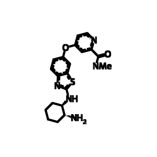 CNC(=O)c1cc(Oc2ccc3nc(N[C@@H]4CCCC[C@H]4N)sc3c2)ccn1